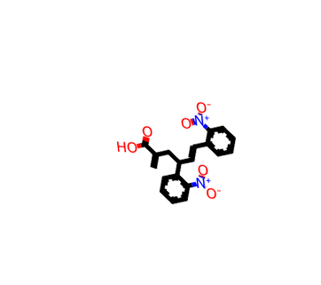 C=C(CC(C=Cc1ccccc1[N+](=O)[O-])c1ccccc1[N+](=O)[O-])C(=O)O